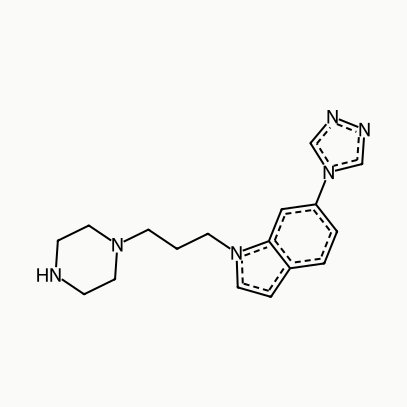 c1cc2ccn(CCCN3CCNCC3)c2cc1-n1cnnc1